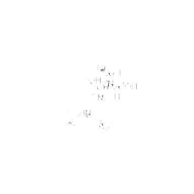 OCC(O)CN(CCCNC(CCC1CC2CCC1C2)CCC1CC2CCC1C2)CCCN(CC(O)CO)CC(O)CO